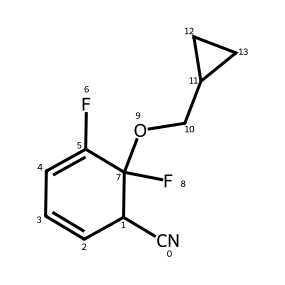 N#CC1C=CC=C(F)C1(F)OCC1CC1